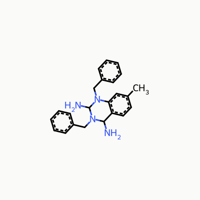 Cc1ccc2c(c1)N(Cc1ccccc1)C(N)N(Cc1ccccc1)C2N